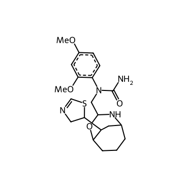 COc1ccc(N(CC2NC3CCCC(O2)C(C2CN=CS2)C3)C(N)=O)c(OC)c1